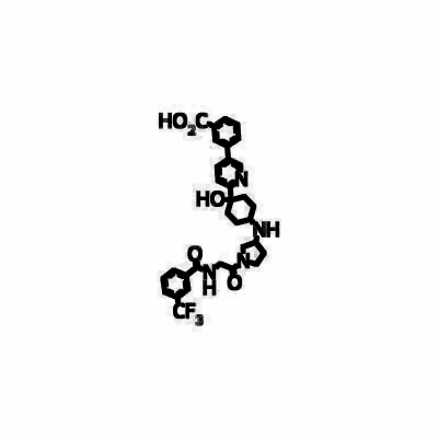 O=C(O)c1cccc(-c2ccc(C3(O)CCC(NC4CCN(C(=O)CNC(=O)c5cccc(C(F)(F)F)c5)C4)CC3)nc2)c1